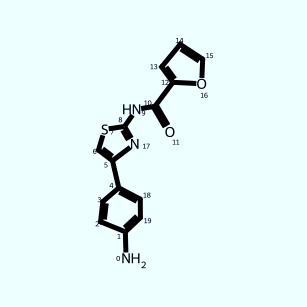 Nc1ccc(-c2csc(NC(=O)c3ccco3)n2)cc1